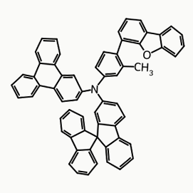 Cc1cc(N(c2ccc3c(c2)C2(c4ccccc4-c4ccccc42)c2ccccc2-3)c2ccc3c4ccccc4c4ccccc4c3c2)ccc1-c1cccc2c1oc1ccccc12